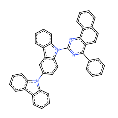 c1ccc(-c2nc(-n3c4ccccc4c4cc(-n5c6ccccc6c6ccccc65)ccc43)nc3c2ccc2ccccc23)cc1